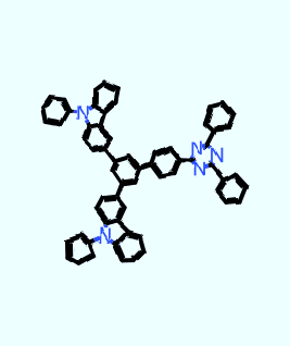 c1ccc(-c2nc(-c3ccccc3)nc(-c3ccc(-c4cc(-c5ccc6c(c5)c5ccccc5n6-c5ccccc5)cc(-c5ccc6c(c5)c5ccccc5n6-c5ccccc5)c4)cc3)n2)cc1